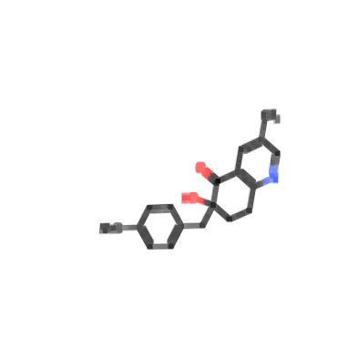 COc1ccc(CC2(O)CCc3ncc(C)cc3C2=O)cc1